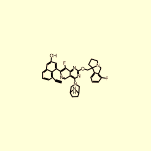 C#Cc1cccc2cc(O)cc(-c3ncc4c(N5CC6CCC(C5)N6)nc(OCC56CCCN5Cc5c(F)cccc56)nc4c3F)c12